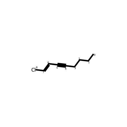 CCCCC#CC=CCl